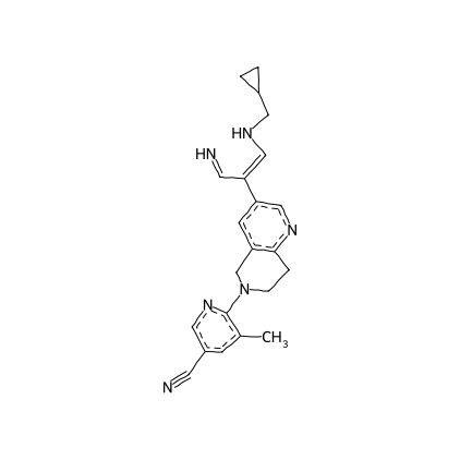 Cc1cc(C#N)cnc1N1CCc2ncc(/C(C=N)=C/NCC3CC3)cc2C1